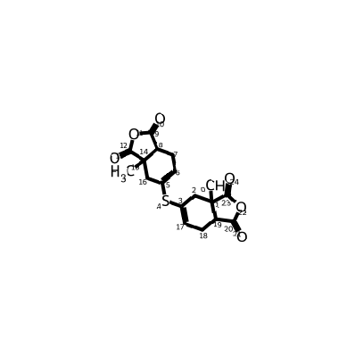 CC12CC(SC3=CCC4C(=O)OC(=O)C4(C)C3)=CCC1C(=O)OC2=O